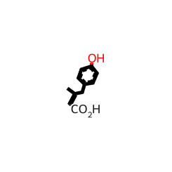 C/C(=C/C(=O)O)Cc1ccc(O)cc1